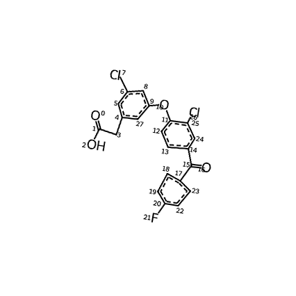 O=C(O)Cc1cc(Cl)cc(Oc2ccc(C(=O)c3ccc(F)cc3)cc2Cl)c1